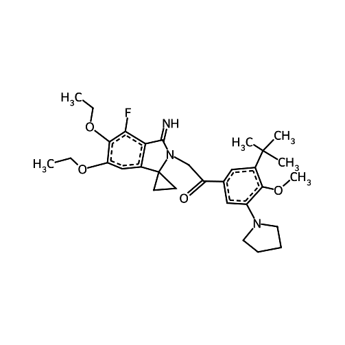 CCOc1cc2c(c(F)c1OCC)C(=N)N(CC(=O)c1cc(N3CCCC3)c(OC)c(C(C)(C)C)c1)C21CC1